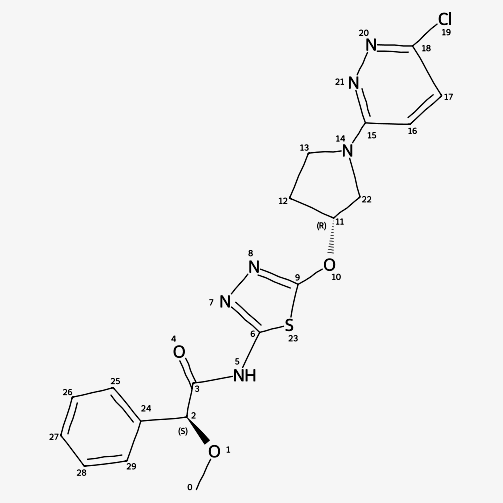 CO[C@H](C(=O)Nc1nnc(O[C@@H]2CCN(c3ccc(Cl)nn3)C2)s1)c1ccccc1